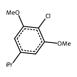 COc1cc(C(C)C)cc(OC)c1Cl